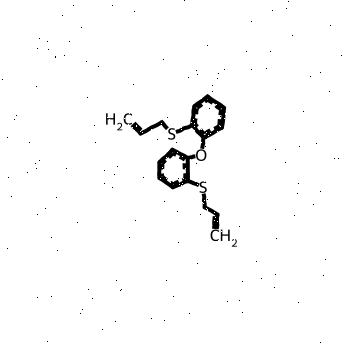 C=CCSc1ccccc1Oc1ccccc1SCC=C